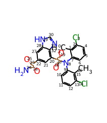 Cc1c(Cl)cccc1N(c1cccc(Cl)c1C)S(=O)(=O)c1cc(S(N)(=O)=O)cc2[nH]cnc12